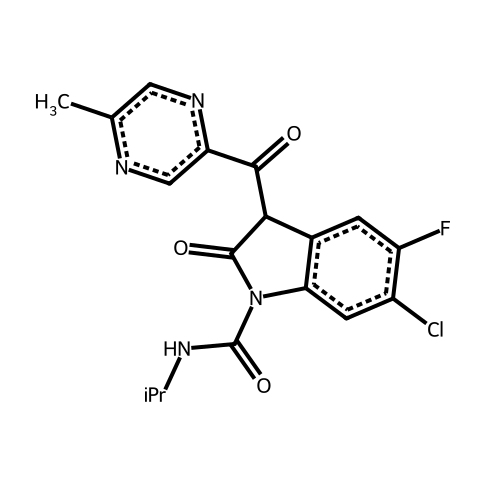 Cc1cnc(C(=O)C2C(=O)N(C(=O)NC(C)C)c3cc(Cl)c(F)cc32)cn1